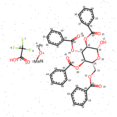 CCCONC.O=C(O)C(F)(F)F.O=C(OC[C@H]1O[C@@H](O)[C@H](OC(=O)c2ccccc2)[C@@H](OC(=O)c2ccccc2)[C@@H]1OC(=O)c1ccccc1)c1ccccc1